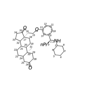 CCC[C@H](NC1CCCCC1)c1cccc(OCC[C@]23CCC4C(CCC5CC(=O)CC[C@@]54C)C2CCC3=O)c1